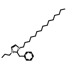 CCCCCCCCCCCCCCCN1C=CN(CCC)C1Cc1ccccc1